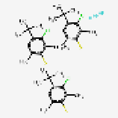 Cc1cc(C(C)(C)C)c(Cl)c(C)c1[S].Cc1cc(C(C)(C)C)c(Cl)c(C)c1[S].Cc1cc(C(C)(C)C)c(Cl)c(C)c1[S].F.F.F